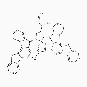 C=C/C(C#N)=C\C=C(\n1c2ccccc2c2c3sc4ccccc4c3ccc21)C1(Cn2c3ccccc3c3c4sc5ccccc5c4ccc32)C=CC(C#N)=C1